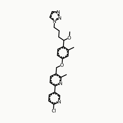 COC(CCCn1ccnn1)c1ccc(OCc2ccc(-c3ccc(Cl)nc3)nc2C)cc1C